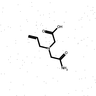 C=CCN(CC(N)=O)CC(=O)O